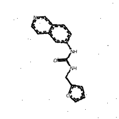 O=C(NCc1ccco1)Nc1ccc2cnccc2c1